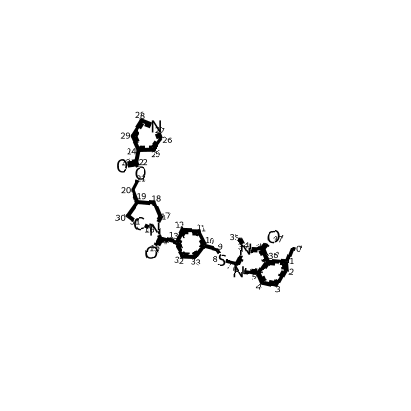 Cc1cccc2nc(SCc3ccc(C(=O)N4CCC(COC(=O)c5ccncc5)CC4)cc3)n(C)c(=O)c12